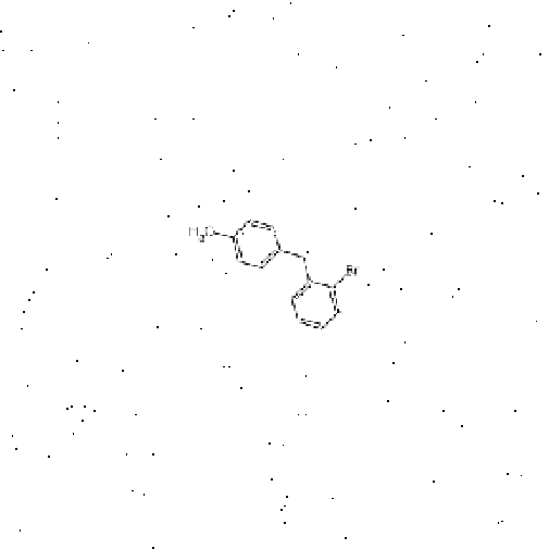 Cc1ccc(Cc2ccccc2Br)cc1